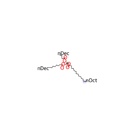 CCCCCCCC/C=C\CCCCCCCCCCCC(=O)O[C@@H](COC(=O)CCCCCCCCCCCCC)COC(=O)CCCCCCCCCCCCCCCCC